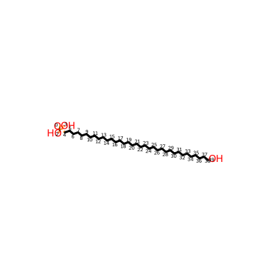 O=P(O)(O)CCCCCCCCCCCCCCCCCCCCCCCCCCCCCCCCCCCO